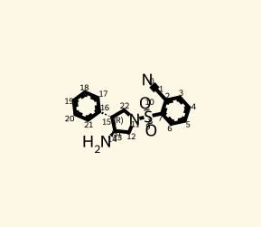 N#Cc1ccccc1S(=O)(=O)N1C[C@@H](N)[C@H](c2ccccc2)C1